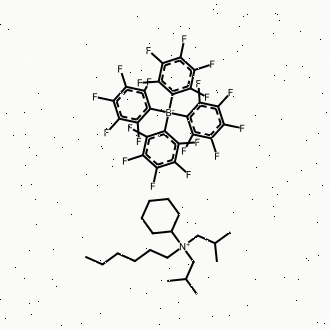 CCCCCC[N+](CC(C)C)(CC(C)C)C1CCCCC1.Fc1c(F)c(F)c([B-](c2c(F)c(F)c(F)c(F)c2F)(c2c(F)c(F)c(F)c(F)c2F)c2c(F)c(F)c(F)c(F)c2F)c(F)c1F